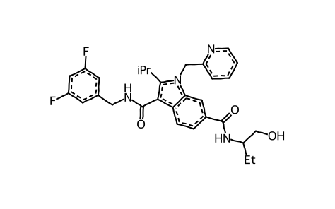 CCC(CO)NC(=O)c1ccc2c(C(=O)NCc3cc(F)cc(F)c3)c(C(C)C)n(Cc3ccccn3)c2c1